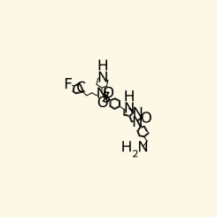 NCc1ccc(-n2cc3cc(-c4ccc(S(=O)(=O)N(CCCc5ccc(F)cc5)C5CCNCC5)cc4)[nH]c3nc2=O)cc1